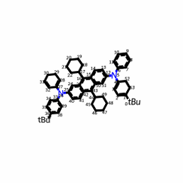 CC(C)(C)C1=CC=C(N(c2ccccc2)c2ccc3c(C4CCCCC4)c4cc(N(C5=CCCC=C5)c5ccc(C(C)(C)C)cc5)ccc4c(C4CCCCC4)c3c2)CC1